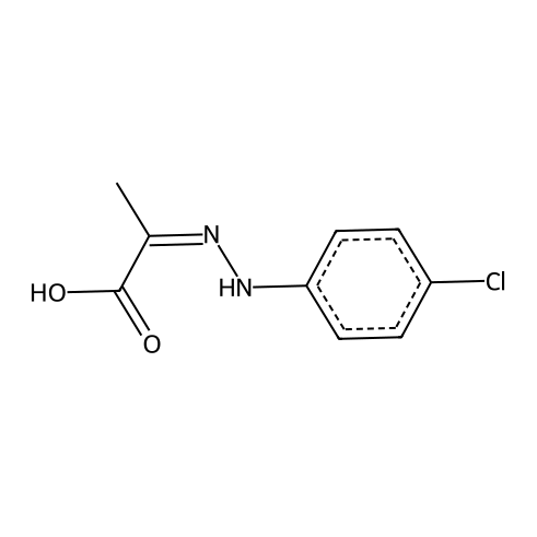 CC(=NNc1ccc(Cl)cc1)C(=O)O